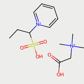 CCC([n+]1ccccc1)S(=O)(=O)O.C[N+](C)(C)CC(=O)O